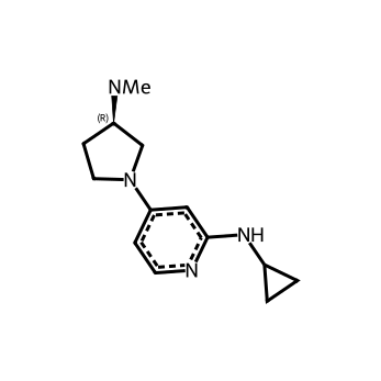 CN[C@@H]1CCN(c2ccnc(NC3CC3)c2)C1